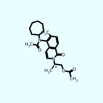 CC(=O)OC[C@@H](C)n1ccc2c(N(C(C)=O)C3CCCCCC3)c(C)ccc2c1=O